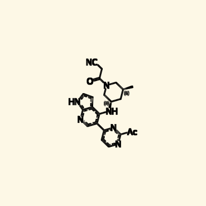 CC(=O)c1nccc(-c2cnc3[nH]ccc3c2N[C@@H]2C[C@H](C)CN(C(=O)CC#N)C2)n1